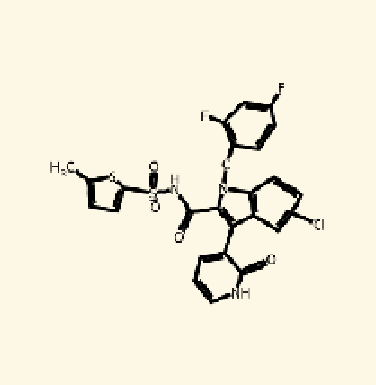 Cc1ccc(S(=O)(=O)NC(=O)c2c(-c3ccc[nH]c3=O)c3cc(Cl)ccc3n2Cc2ccc(F)cc2F)s1